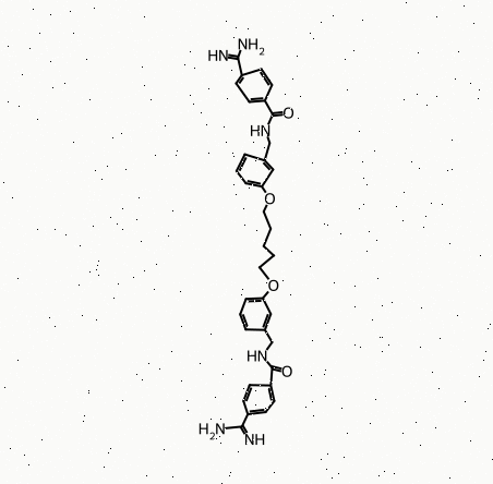 N=C(N)c1ccc(C(=O)NCc2cccc(OCCCCCOc3cccc(CNC(=O)c4ccc(C(=N)N)cc4)c3)c2)cc1